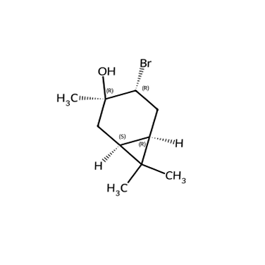 CC1(C)[C@@H]2C[C@@H](Br)[C@](C)(O)C[C@@H]21